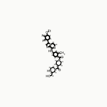 CCOc1ccc(-c2cnc3c(Nc4ccc(C(=O)N5CCC(C(=O)N6CCNC(CO)C6)CC5)c(C)c4)nccn23)c(F)c1F